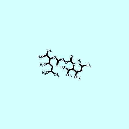 CC(C)CC(C)C(OC(=O)OOC(=O)OC(C(C)C)C(C)CC(C)C)C(C)C